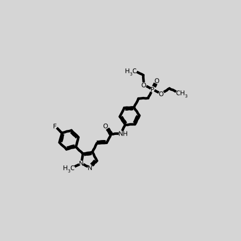 CCOP(=O)(CCc1ccc(NC(=O)/C=C/c2cnn(C)c2-c2ccc(F)cc2)cc1)OCC